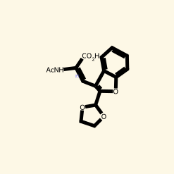 CC(=O)N/C(=C/c1c(C2OCCO2)oc2ccccc12)C(=O)O